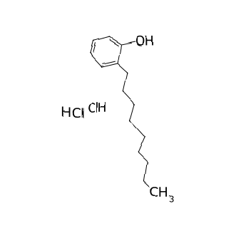 CCCCCCCCCc1ccccc1O.Cl.Cl